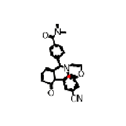 CN(C)C(=O)c1ccc(C(C2=CC=CC(=O)C2c2cccc(C#N)c2)N2C=COC=C2)cc1